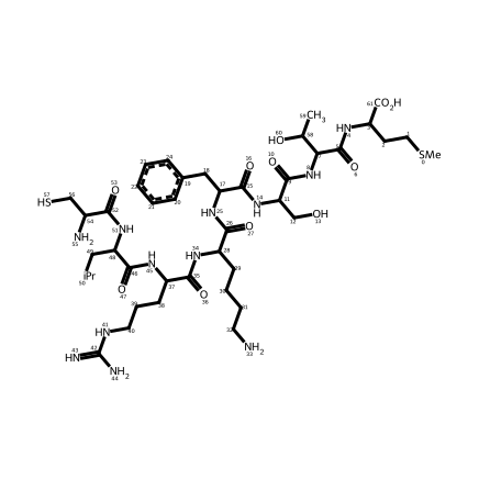 CSCCC(NC(=O)C(NC(=O)C(CO)NC(=O)C(Cc1ccccc1)NC(=O)C(CCCCN)NC(=O)C(CCCNC(=N)N)NC(=O)C(CC(C)C)NC(=O)C(N)CS)C(C)O)C(=O)O